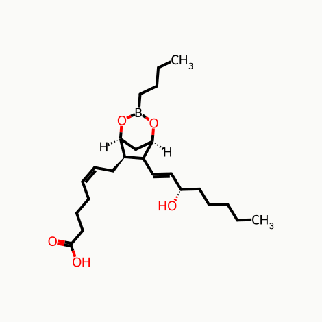 CCCCC[C@H](O)/C=C/C1[C@@H](C/C=C\CCCC(=O)O)[C@@H]2C[C@H]1OB(CCCC)O2